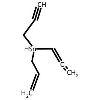 C#C[CH2][SnH]([CH]=C=C)[CH2]C=C